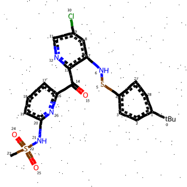 CC(C)(C)c1ccc(SNc2cc(Cl)cnc2C(=O)c2cccc(NS(C)(=O)=O)n2)cc1